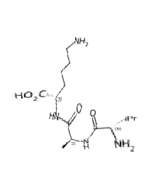 CC(C)[C@H](N)C(=O)N[C@@H](C)C(=O)N[C@@H](CCCCN)C(=O)O